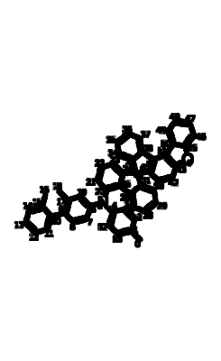 Cc1ccc(N(c2ccc(-c3ccccc3C)c(C)c2)c2cccc3c2-c2ccccc2C32c3ccccc3-c3c2ccc2oc4ccccc4c32)cc1